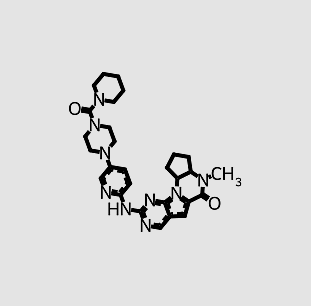 CN1C(=O)c2cc3cnc(Nc4ccc(N5CCN(C(=O)N6CCCCC6)CC5)cn4)nc3n2C2CCCC21